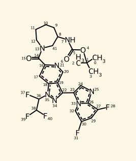 CC(C)(C)OC(=O)NC1CCCCN(C(=O)c2cc3c(cn2)c(-c2cnc4c(F)cc(F)cn24)nn3C(F)C(F)F)C1